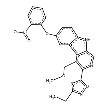 CCc1noc(-c2ncc3[nH]c4ccc(Oc5ccccc5[N+](=O)[O-])cc4c3c2COC)n1